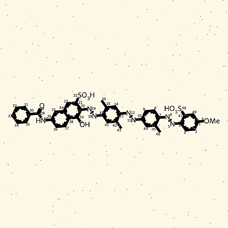 COc1ccc(N=Nc2ccc(N=Nc3cc(C)c(N=Nc4c(S(=O)(=O)O)cc5cc(NC(=O)c6ccccc6)ccc5c4O)cc3C)cc2C)c(S(=O)(=O)O)c1